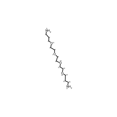 NCCCOCCOCCOCCOCCCN